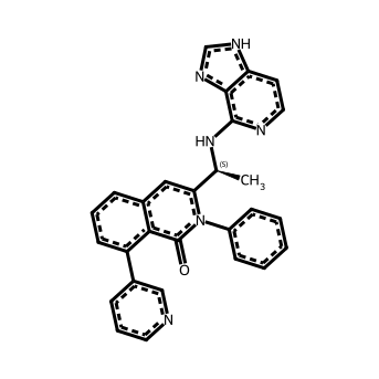 C[C@H](Nc1nccc2[nH]cnc12)c1cc2cccc(-c3cccnc3)c2c(=O)n1-c1ccccc1